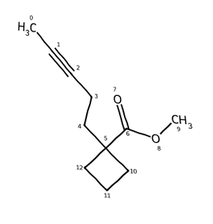 CC#CCCC1(C(=O)OC)CCC1